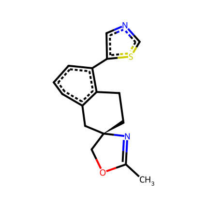 CC1=N[C@]2(CCc3c(cccc3-c3cncs3)C2)CO1